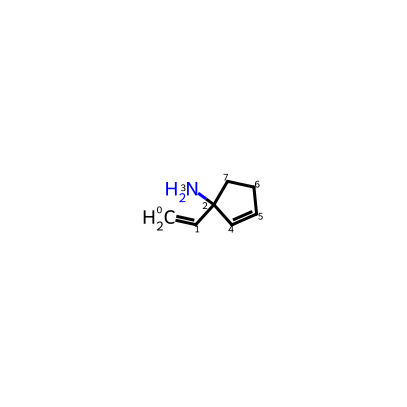 C=CC1(N)C=CCC1